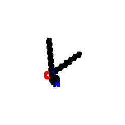 CCCCCCCCCCCCN(CCCCCCCCCCCC)C(=O)c1ccncc1